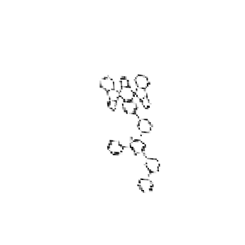 c1ccc(-c2cccc(-c3cc(-c4cccc(-c5ccc6c(c5)C5(c7ccccc7-c7ccccc75)c5ccccc5C65c6ccccc6-c6ccccc65)c4)nc(-c4ccccc4)n3)c2)cc1